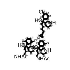 CC(=O)NCCC[C@@](O)(c1cc(C)cc(F)c1)[C@@H]1CCCNC1.CC(=O)NCCC[C@@](O)(c1cc(C)ccc1F)[C@@H]1CCCNC1.O[C@](CCCCC1CC1)(c1cccc(Cl)c1)[C@@H]1CCCNC1